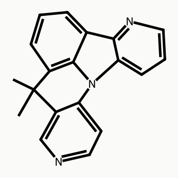 CC1(C)c2cnccc2-n2c3cccnc3c3cccc1c32